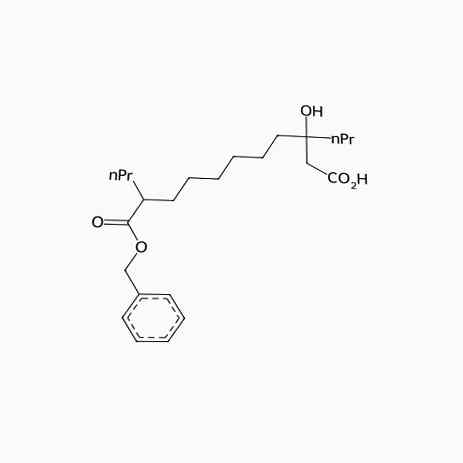 CCCC(CCCCCCC(O)(CCC)CC(=O)O)C(=O)OCc1ccccc1